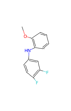 COc1ccc[c]c1Nc1ccc(F)c(F)c1